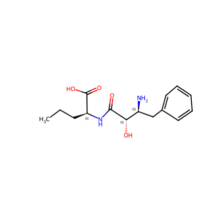 CCC[C@H](NC(=O)[C@@H](O)[C@@H](N)Cc1ccccc1)C(=O)O